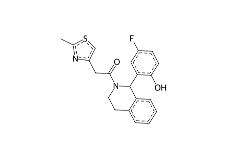 Cc1nc(CC(=O)N2CCc3ccccc3C2c2cc(F)ccc2O)cs1